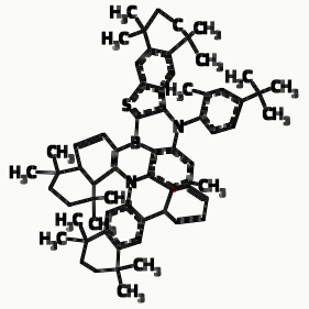 Cc1cc2c3c(c1)N(c1ccc(C(C)(C)C)cc1C)c1c(sc4cc5c(cc14)C(C)(C)CCC5(C)C)B3C1=C(C3C(C=C1)C(C)(C)CCC3(C)C)N2c1cc2c(cc1C1C=CC=CC1)C(C)(C)CCC2(C)C